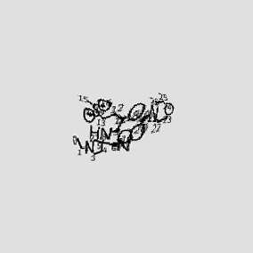 CCN1CCC(C#N)(NC(=O)C(CCS(C)(=O)=O)OC(=O)N2CCOCC2)C1